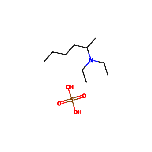 CCCCC(C)N(CC)CC.O=S(=O)(O)O